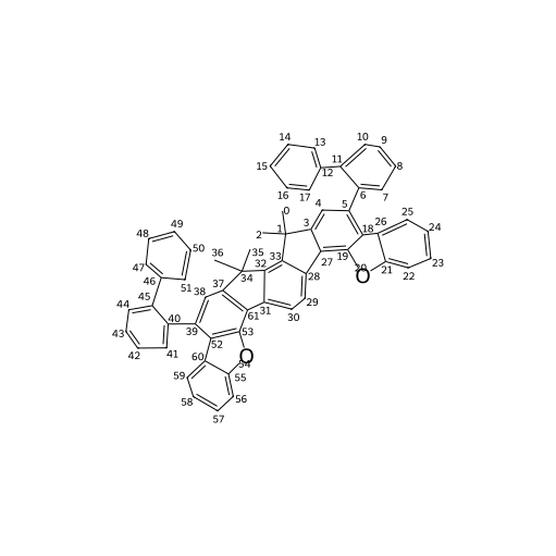 CC1(C)c2cc(-c3ccccc3-c3ccccc3)c3c(oc4ccccc43)c2-c2ccc3c(c21)C(C)(C)c1cc(-c2ccccc2-c2ccccc2)c2c(oc4ccccc42)c1-3